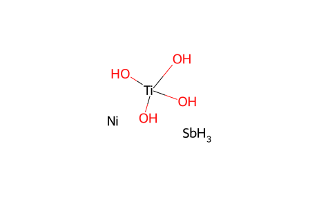 [Ni].[OH][Ti]([OH])([OH])[OH].[SbH3]